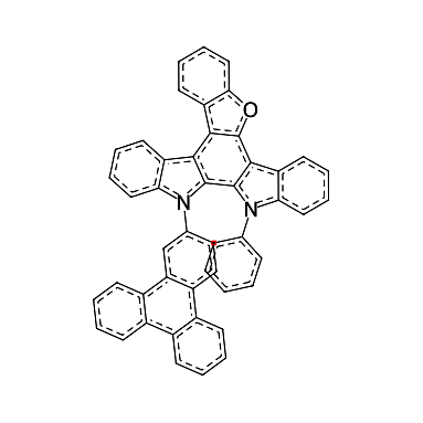 c1ccc(-n2c3ccccc3c3c4oc5ccccc5c4c4c5ccccc5n(-c5ccc6c7ccccc7c7ccccc7c6c5)c4c32)cc1